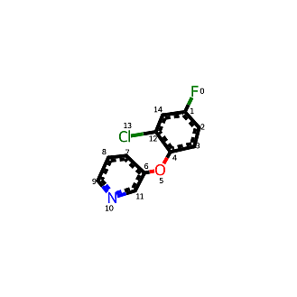 Fc1ccc(Oc2cccnc2)c(Cl)c1